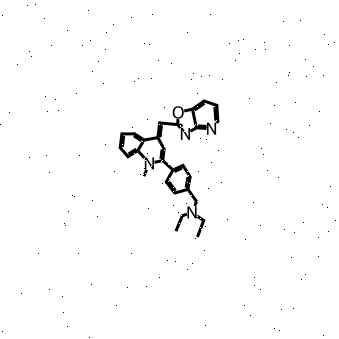 CCN(CC)Cc1ccc(C2=C/C(=C\c3nc4ncccc4o3)c3ccccc3N2C)cc1